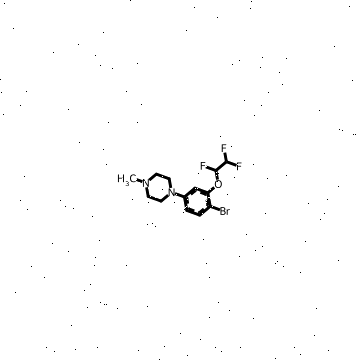 CN1CCN(c2ccc(Br)c(OC(F)C(F)F)c2)CC1